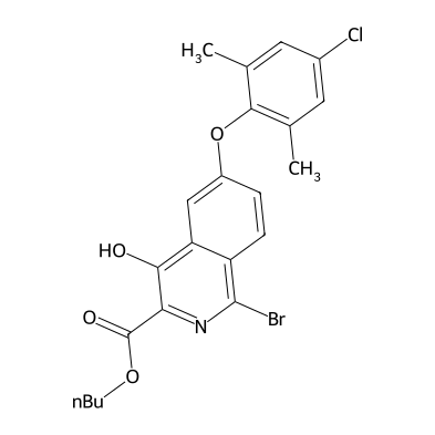 CCCCOC(=O)c1nc(Br)c2ccc(Oc3c(C)cc(Cl)cc3C)cc2c1O